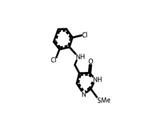 CSc1ncc(CNc2c(Cl)cccc2Cl)c(=O)[nH]1